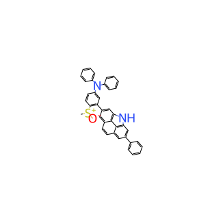 C[S+]([O-])c1ccc(N(c2ccccc2)c2ccccc2)cc1-c1cc2ccc3cc(-c4ccccc4)cc4[nH]c(c1)c2c34